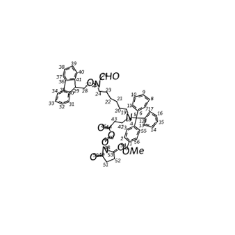 COc1ccc(C(c2ccccc2)(c2ccccc2)N(CCCCCCN(C=O)OCC2c3ccccc3-c3ccccc32)CCC(=O)OON2C(=O)CCC2=O)cc1